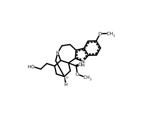 COC(=O)C12C[C@@H]3CC(CCO)C1N(CCc1c2[nH]c2ccc(OC)cc12)C3